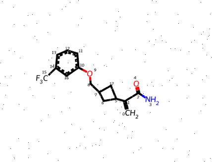 C=C(C(N)=O)C1CC(COc2cccc(C(F)(F)F)c2)C1